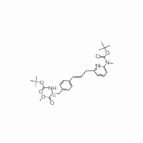 COC(=O)[C@H](Cc1ccc(C=CCc2cccc(N(C)C(=O)OC(C)(C)C)n2)cc1)NC(=O)OC(C)(C)C